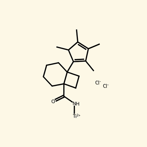 CC1=C(C)C(C)C(C23CCCCC2(C(=O)[NH][Ti+2])CC3)=C1C.[Cl-].[Cl-]